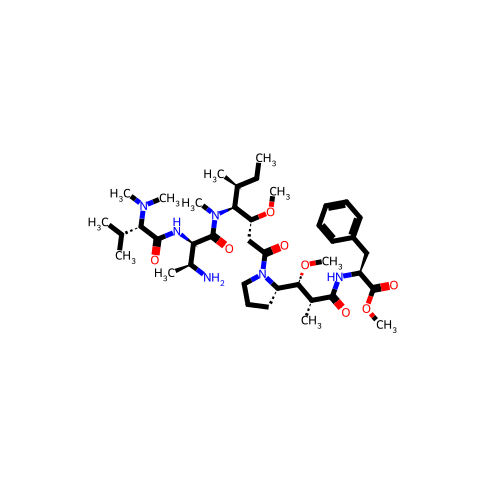 CC[C@H](C)[C@@H]([C@@H](CC(=O)N1CCC[C@H]1[C@H](OC)[C@@H](C)C(=O)N[C@@H](Cc1ccccc1)C(=O)OC)OC)N(C)C(=O)[C@H](NC(=O)[C@H](C(C)C)N(C)C)[C@H](C)N